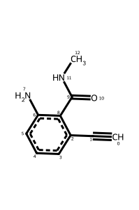 C#Cc1cccc(N)c1C(=O)NC